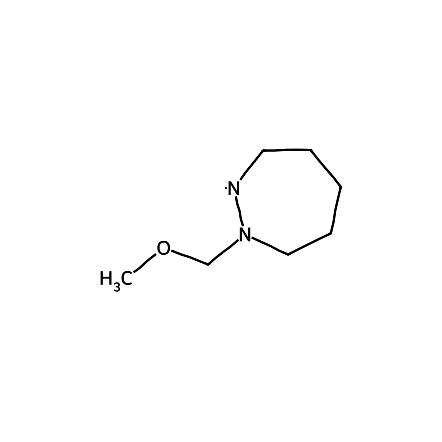 COCN1CCCCC[N]1